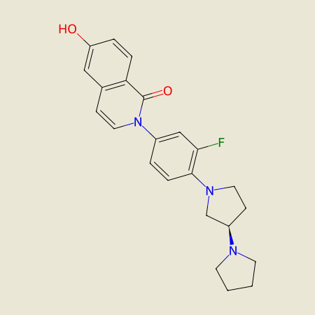 O=c1c2ccc(O)cc2ccn1-c1ccc(N2CC[C@@H](N3CCCC3)C2)c(F)c1